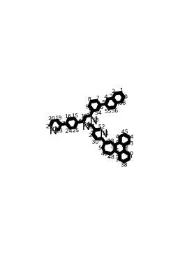 C1=C=Cc2cc(-c3cccc(-c4cc(-c5ccc(-c6cccnc6)cc5)nc(-c5ccc(C6=Cc7c(c8ccccc8c8ccccc78)C=CC6)nc5)n4)c3)ccc2C=1